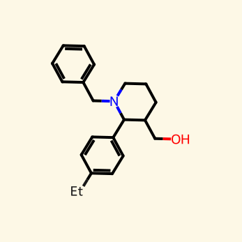 CCc1ccc(C2C(CO)CCCN2Cc2ccccc2)cc1